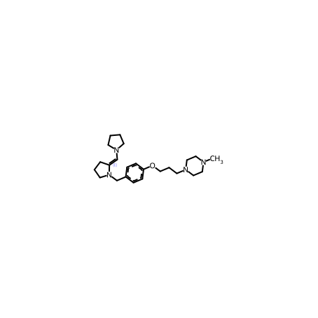 CN1CCN(CCCOc2ccc(CN3CCC/C3=C\N3CCCC3)cc2)CC1